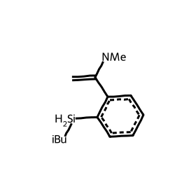 C=C(NC)c1ccccc1[SiH2]C(C)CC